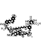 COc1ccc2cc3[n+](cc2c1OC(=O)N(C)CCN(C)C(=O)OCCCCCCCCCC(=O)Nc1cc(COC(=O)N(C)CCN(C)C(=O)n2ccc4c(N(C)[C@@H]5CN(C(=O)CC#N)CC[C@@H]5C)ncnc42)ccc1O[C@@H]1OC(C(=O)O)[C@@H](O)[C@H](O)[C@H]1O)CCc1cc2c(cc1-3)OCO2